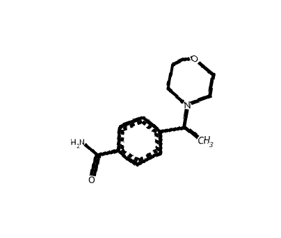 CC(c1ccc(C(N)=O)cc1)N1CCOCC1